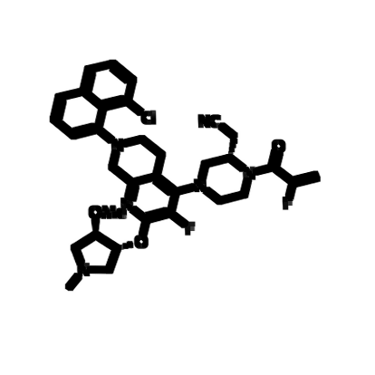 C=C(F)C(=O)N1CCN(c2c(F)c(O[C@@H]3CN(C)C[C@H]3OC)nc3c2CCN(c2cccc4cccc(Cl)c24)C3)C[C@@H]1CC#N